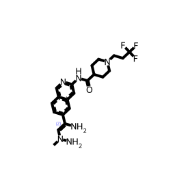 CN(N)/C=C(\N)c1ccc2cnc(NC(=O)C3CCN(CCC(F)(F)F)CC3)cc2c1